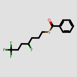 O=C(SCCCC(F)CCC(F)(F)F)c1ccccc1